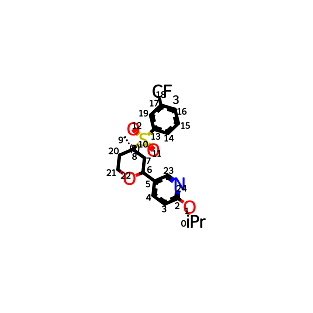 CC(C)Oc1ccc(C2C[C@](C)(S(=O)(=O)c3cccc(C(F)(F)F)c3)CCO2)cn1